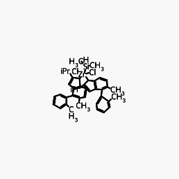 Cc1ccccc1-c1c(C)ccc2c1C=C(C(C)C)[CH]2[Zr]([Cl])([Cl])([CH]1C(C(C)C)=Cc2c1ccc(C)c2-c1ccccc1C)[SiH](C)C